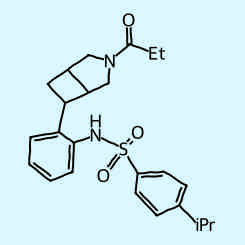 CCC(=O)N1CC2CC(c3ccccc3NS(=O)(=O)c3ccc(C(C)C)cc3)C2C1